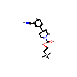 C[Si](C)(C)CCOC(=O)N1CCC(c2cccc(C#N)c2)CC1